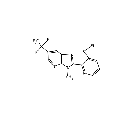 CCSc1cccnc1-c1nc2cc(C(F)(F)C(F)(F)F)cnc2n1C